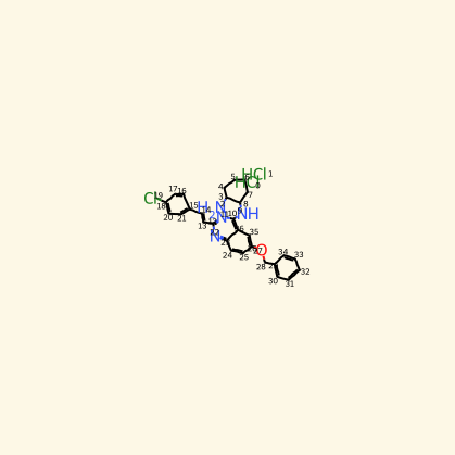 Cl.Cl.NC1CCCCC1Nc1nc(C=Cc2ccc(Cl)cc2)nc2ccc(OCc3ccccc3)cc12